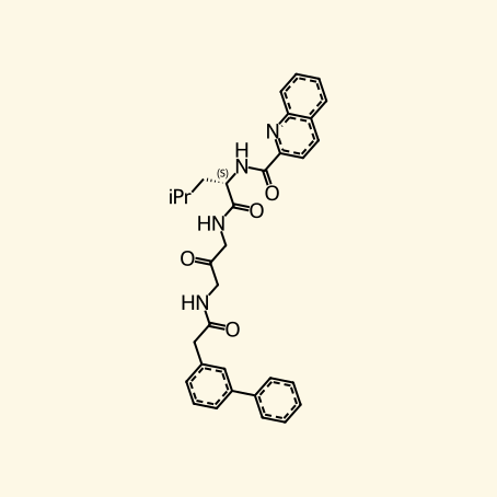 CC(C)C[C@H](NC(=O)c1ccc2ccccc2n1)C(=O)NCC(=O)CNC(=O)Cc1cccc(-c2ccccc2)c1